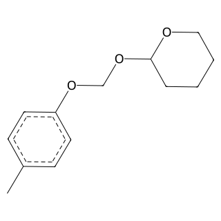 Cc1ccc(OCOC2CCCCO2)cc1